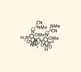 CNC(CC#N)C1CCN(c2cc(N)c3c(=O)n(N)c(=O)n(C4CC4)c3c2OC)C1.CNCC(C#N)C1CCN(c2cc(N)c3c(=O)[nH]c(=O)n(C4CC4)c3c2OC)C1